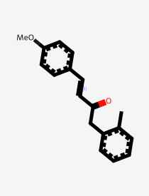 COc1ccc(/C=C/C(=O)Cc2ccccc2C)cc1